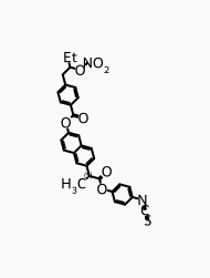 CCC(Cc1ccc(C(=O)Oc2ccc3cc([C@H](C)C(=O)Oc4ccc(N=C=S)cc4)ccc3c2)cc1)O[N+](=O)[O-]